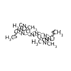 CSc1cccnc1CN(CCCN1CCN(CCCN(Cc2ncccc2SC)c2nc(C)nc(C)c2Cl)CC1)c1nc(C)nc(C)c1Cl